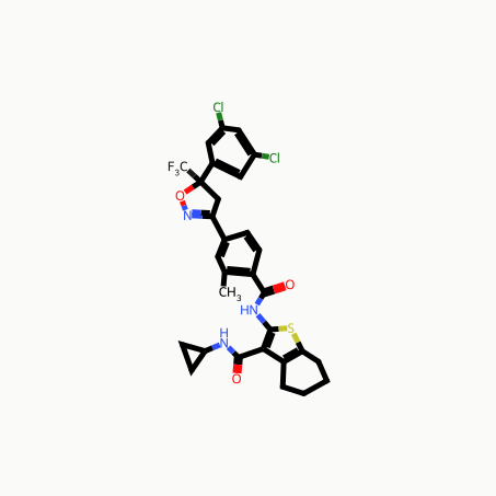 Cc1cc(C2=NOC(c3cc(Cl)cc(Cl)c3)(C(F)(F)F)C2)ccc1C(=O)Nc1sc2c(c1C(=O)NC1CC1)CCCC2